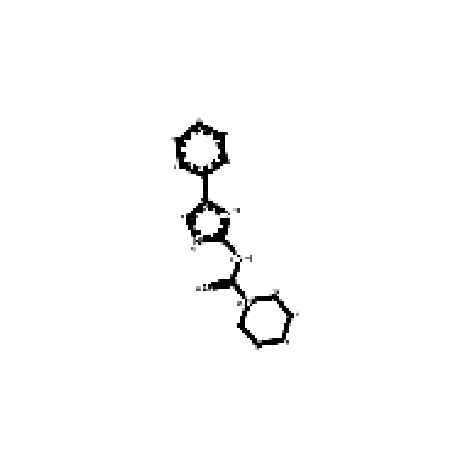 O=C(Nc1ncc(-c2ccccc2)s1)N1CCCCC1